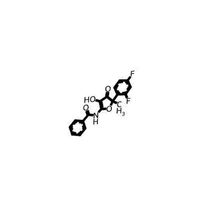 CC1(c2ccc(F)cc2F)OC(NC(=O)c2ccccc2)=C(O)C1=O